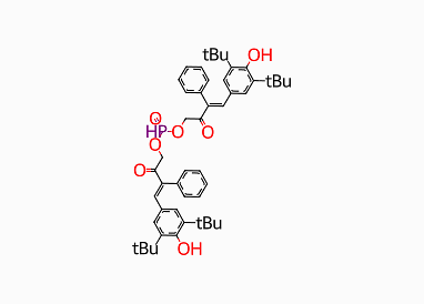 CC(C)(C)c1cc(C=C(C(=O)CO[PH](=O)OCC(=O)C(=Cc2cc(C(C)(C)C)c(O)c(C(C)(C)C)c2)c2ccccc2)c2ccccc2)cc(C(C)(C)C)c1O